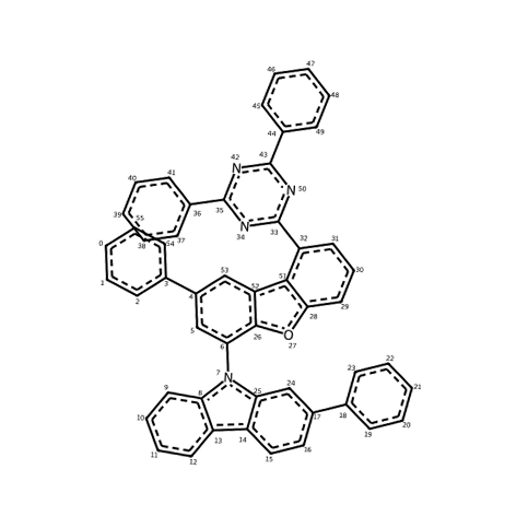 c1ccc(-c2cc(-n3c4ccccc4c4ccc(-c5ccccc5)cc43)c3oc4cccc(-c5nc(-c6ccccc6)nc(-c6ccccc6)n5)c4c3c2)cc1